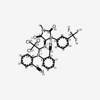 CN1C(=O)/C(=N\C(N(c2ccccc2C#N)c2ccccc2C#N)C(Cl)(Cl)Cl)N(c2cccc(C(F)(F)F)c2)C1=O